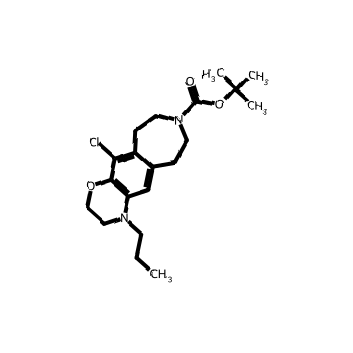 CCCN1CCOc2c1cc1c(c2Cl)CCN(C(=O)OC(C)(C)C)CC1